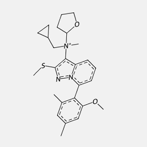 COc1cc(C)cc(C)c1-c1cccc2c([N+](C)(CC3CC3)C3CCCO3)c(SC)nn12